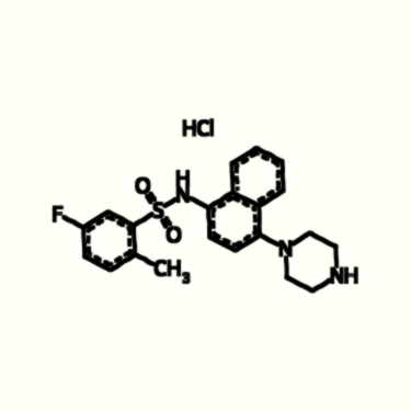 Cc1ccc(F)cc1S(=O)(=O)Nc1ccc(N2CCNCC2)c2ccccc12.Cl